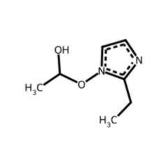 CCc1nccn1OC(C)O